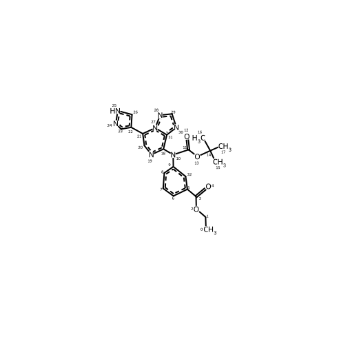 CCOC(=O)c1cccc(N(C(=O)OC(C)(C)C)c2ncc(-c3cn[nH]c3)n3ncnc23)c1